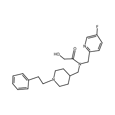 O=C(CO)N(Cc1ccc(F)cn1)CC1CCN(CCc2ccccc2)CC1